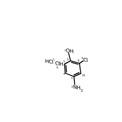 Cl.Cl.Nc1ccc(O)c(Cl)c1